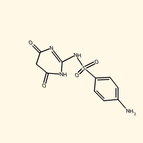 Nc1ccc(S(=O)(=O)NC2=NC(=O)CC(=O)N2)cc1